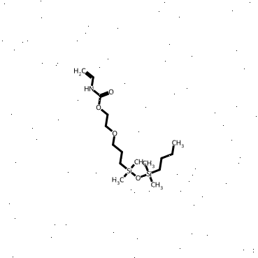 C=CNC(=O)OCCOCCC[Si](C)(C)O[Si](C)(C)CCCC